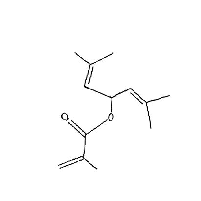 C=C(C)C(=O)OC(C=C(C)C)C=C(C)C